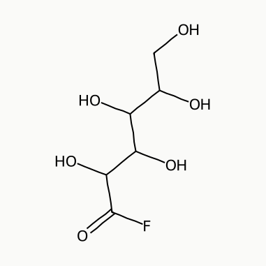 O=C(F)C(O)C(O)C(O)C(O)CO